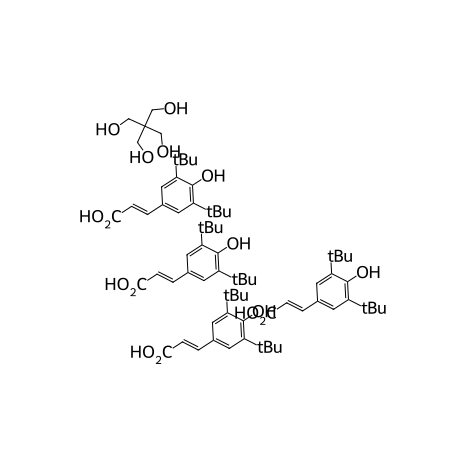 CC(C)(C)c1cc(C=CC(=O)O)cc(C(C)(C)C)c1O.CC(C)(C)c1cc(C=CC(=O)O)cc(C(C)(C)C)c1O.CC(C)(C)c1cc(C=CC(=O)O)cc(C(C)(C)C)c1O.CC(C)(C)c1cc(C=CC(=O)O)cc(C(C)(C)C)c1O.OCC(CO)(CO)CO